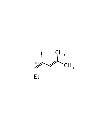 CC/C=C(/I)C=C(C)C